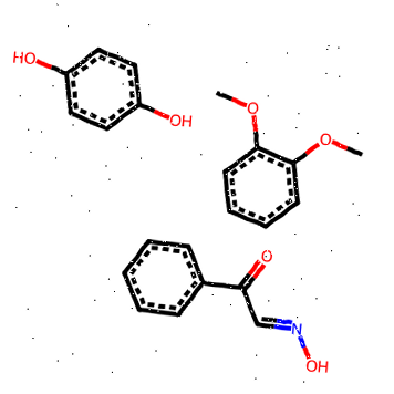 COc1ccccc1OC.O=C(C=NO)c1ccccc1.Oc1ccc(O)cc1